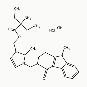 CCC(N)(CC)C(=O)OCN1C=CN(CC2CCc3c(c4ccccc4n3C)C2=O)C1C.Cl.Cl